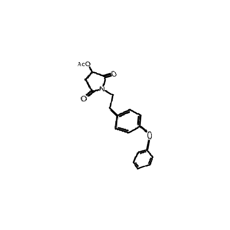 CC(=O)OC1CC(=O)N(CCc2ccc(Oc3ccccc3)cc2)C1=O